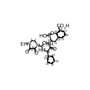 CCN1CCN(C(O)N[C@@H](C(=O)N[C@H]2Cc3cccc(C(=O)O)c3OB2O)c2ccccc2)C(=O)C1=O